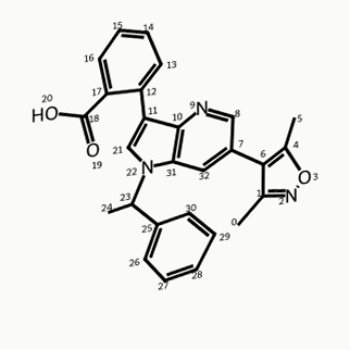 Cc1noc(C)c1-c1cnc2c(-c3ccccc3C(=O)O)cn(C(C)c3ccccc3)c2c1